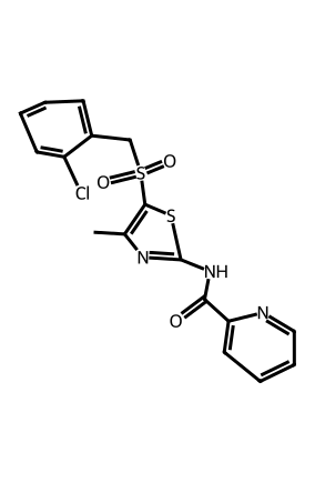 Cc1nc(NC(=O)c2ccccn2)sc1S(=O)(=O)Cc1ccccc1Cl